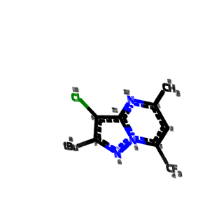 Cc1cc(C(F)(F)F)n2nc(C(C)(C)C)c(Cl)c2n1